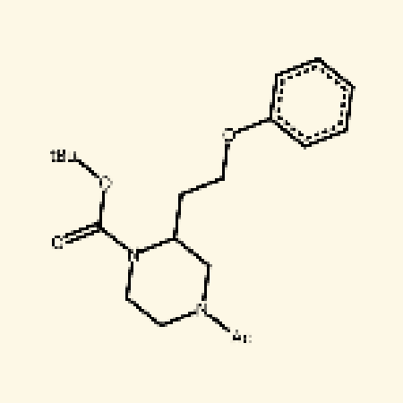 CC(=O)N1CCN(C(=O)OC(C)(C)C)C(CCOc2ccccc2)C1